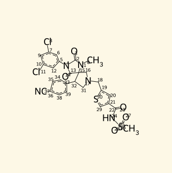 CN1C(=O)N(c2cc(Cl)cc(Cl)c2)C(=O)C12CN(Cc1cc(C(=O)NS(C)(=O)=O)cs1)CC2c1ccc(C#N)cc1